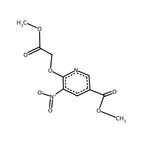 COC(=O)COc1ncc(C(=O)OC)cc1[N+](=O)[O-]